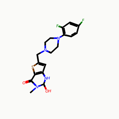 CN1C(=O)c2sc(CN3CCN(c4ccc(F)cc4F)CC3)cc2NC1O